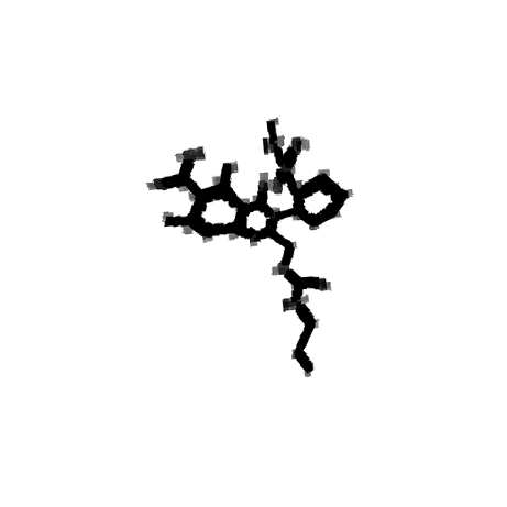 CCCNC(=O)OCc1nc2cc(C)c(C(=O)O)c(C)c2c(=O)n1-c1ccccc1S(=O)(=O)NC